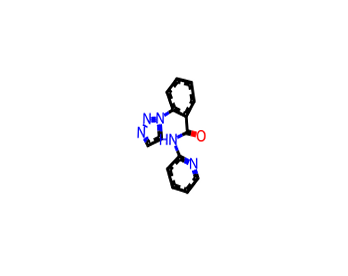 O=C(Nc1ccccn1)c1ccccc1-n1ccnn1